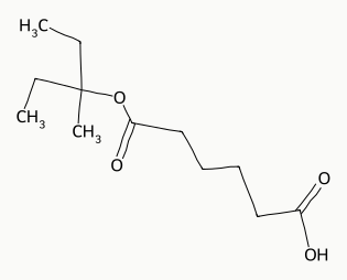 CCC(C)(CC)OC(=O)CCCCC(=O)O